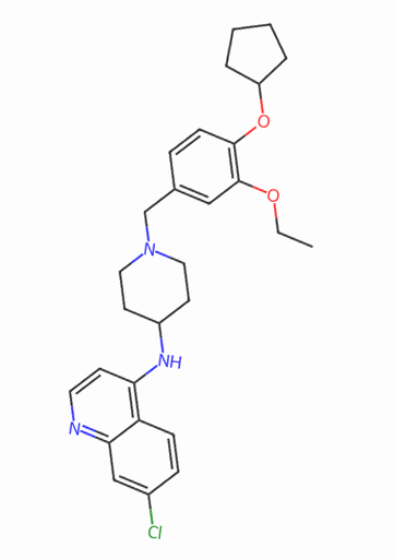 CCOc1cc(CN2CCC(Nc3ccnc4cc(Cl)ccc34)CC2)ccc1OC1CCCC1